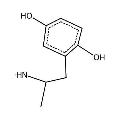 CC([NH])Cc1cc(O)ccc1O